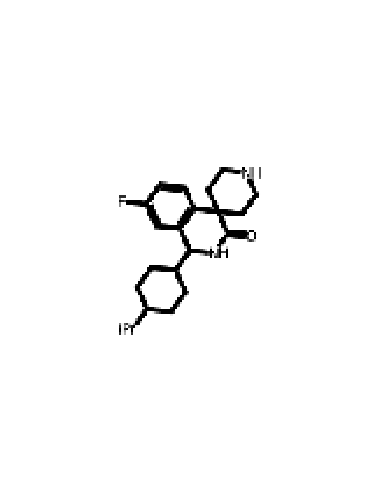 CC(C)C1CCC(C2NC(=O)C3(CCNCC3)c3ccc(F)cc32)CC1